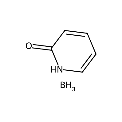 B.O=c1cccc[nH]1